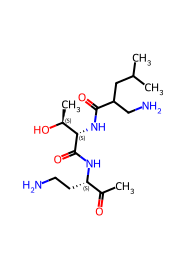 CC(=O)[C@H](CCN)NC(=O)[C@@H](NC(=O)C(CN)CC(C)C)[C@H](C)O